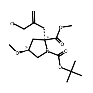 C=C(CCl)C[C@@]1(C(=O)OC)C[C@H](OC)CN1C(=O)OC(C)(C)C